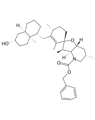 CC1=C(C[C@H]2CCC[C@@H]3C[C@@H](O)CC[C@]23C)[C@H](C)CC[C@]12O[C@@H]1C[C@H](C)CN(C(=O)OCc3ccccc3)[C@H]1[C@H]2C